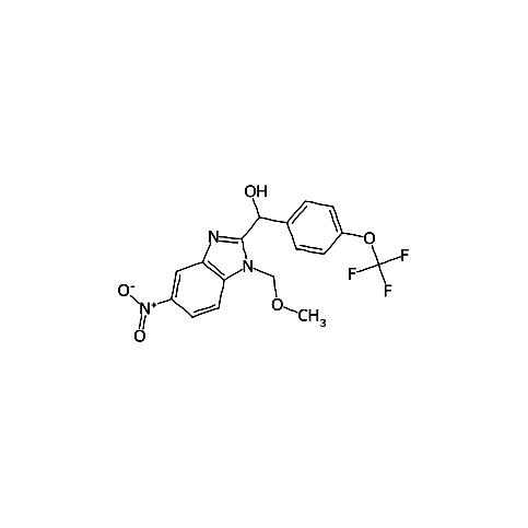 COCn1c(C(O)c2ccc(OC(F)(F)F)cc2)nc2cc([N+](=O)[O-])ccc21